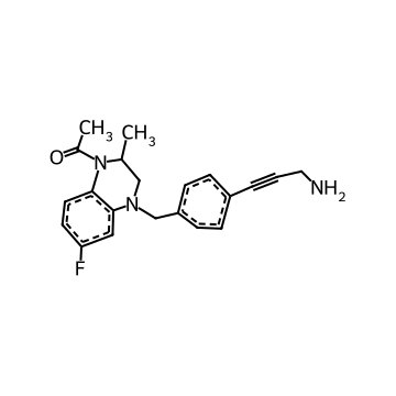 CC(=O)N1c2ccc(F)cc2N(Cc2ccc(C#CCN)cc2)CC1C